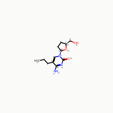 CCCc1cn([C@H]2CC[C@@H](CO)O2)c(=O)nc1N